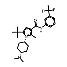 Cc1c(C(=O)Nc2cccc(C(C)(F)F)c2)cc(C(C)(C)C)n1[C@H]1CC[C@@H](N(C)C)CC1